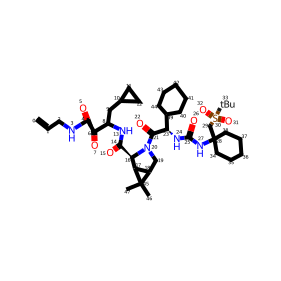 C=CCNC(=O)C(=O)C(CC1CC1)NC(=O)[C@@H]1C2C(CN1C(=O)[C@@H](NC(=O)NC1(CS(=O)(=O)C(C)(C)C)CCCCC1)C1CCCCC1)C2(C)C